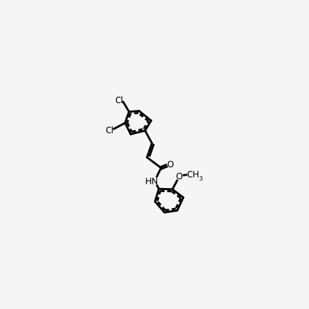 COc1ccccc1NC(=O)C=Cc1ccc(Cl)c(Cl)c1